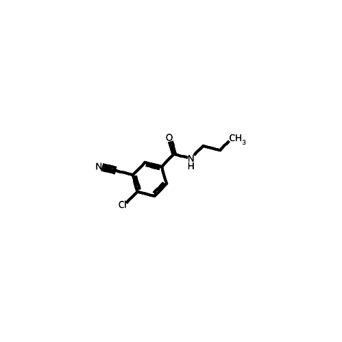 CCCNC(=O)c1ccc(Cl)c(C#N)c1